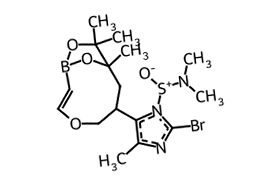 Cc1nc(Br)n([S+]([O-])N(C)C)c1C1CO/C=C/B2OC(C)(C)C(C)(C1)O2